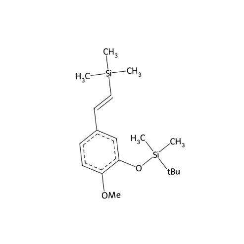 COc1ccc(C=C[Si](C)(C)C)cc1O[Si](C)(C)C(C)(C)C